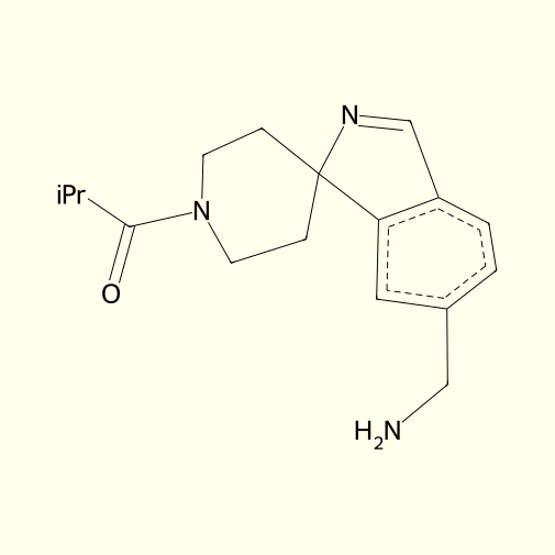 CC(C)C(=O)N1CCC2(CC1)N=Cc1ccc(CN)cc12